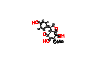 COC1=C(O)C(=O)C2=C(c3ccc(O)cc3)COC2=C1O